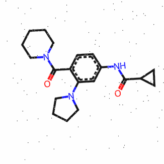 O=C(Nc1ccc(C(=O)N2CCCCC2)c(N2CCCC2)c1)C1CC1